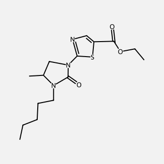 CCCCCN1C(=O)N(c2ncc(C(=O)OCC)s2)CC1C